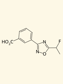 CC(F)c1nc(-c2cccc(C(=O)O)c2)no1